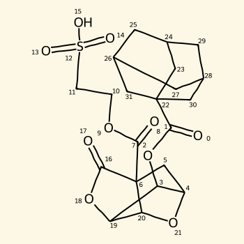 O=C(OC1C2CC3(C(=O)OCCS(=O)(=O)O)C(=O)OC1C3O2)C12CC3CC(CC(C3)C1)C2